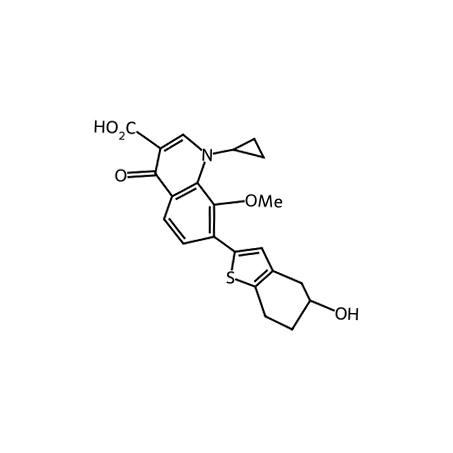 COc1c(-c2cc3c(s2)CCC(O)C3)ccc2c(=O)c(C(=O)O)cn(C3CC3)c12